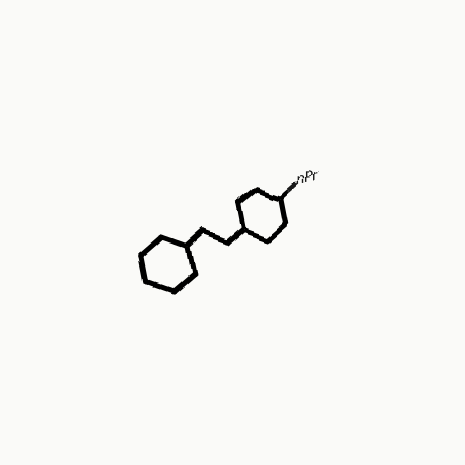 CCCC1CCC(CCC2CCCCC2)CC1